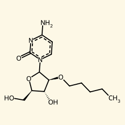 CCCCCO[C@@H]1C(n2ccc(N)nc2=O)O[C@H](CO)[C@H]1O